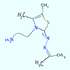 CC(C)=NN=c1sc(C)c(C)n1CCN